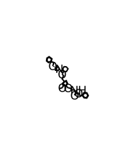 COc1cc(CCOC2CCCCC2N2CC[C@@H](OCc3ccccc3)C2)ccc1OCCNC(=O)OCc1ccccc1